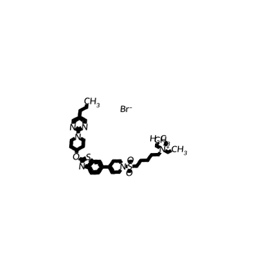 CCCc1cnc(N2CCC(Oc3nc4ccc(C5=CCN(S(=O)(=O)CCCCC[N+](CC)(CC)CC)CC5)cc4s3)CC2)nc1.[Br-]